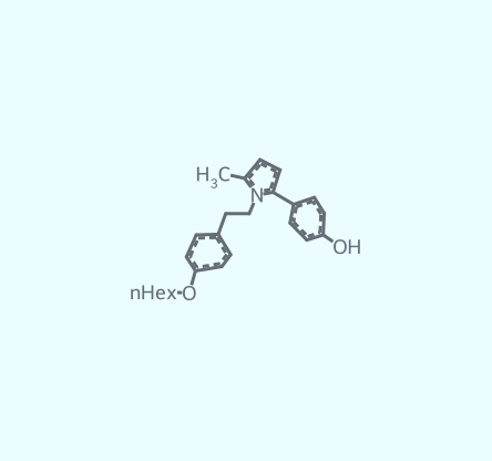 CCCCCCOc1ccc(CCn2c(C)ccc2-c2ccc(O)cc2)cc1